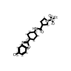 CCS(=O)(=O)N1CCC(C(=O)NC2CCC(c3nc4cc(Cl)ccc4o3)CC2)C1